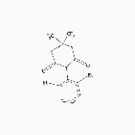 CCc1cccc(CC)c1C1C(=O)CC(C(F)(F)F)(C(F)(F)F)CC1=O